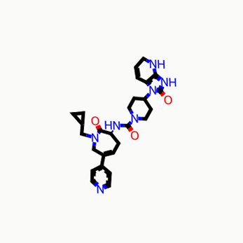 O=C(N[C@@H]1CC=C(c2ccncc2)CN(CC2CC2)C1=O)N1CCC(n2c3c([nH]c2=O)NCC=C3)CC1